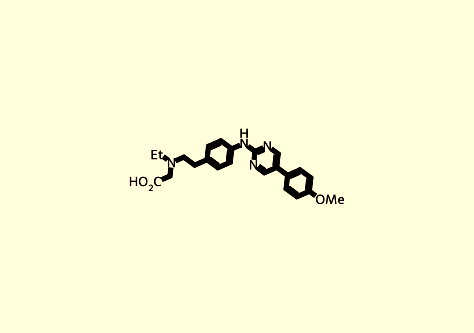 CCN(CCc1ccc(Nc2ncc(-c3ccc(OC)cc3)cn2)cc1)CC(=O)O